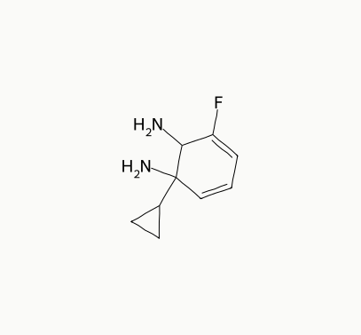 NC1C(F)=CC=CC1(N)C1CC1